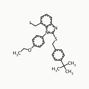 CCOc1ccc(-n2c(SCc3ccc(C(C)(C)C)cc3)nc3cccc(CI)c32)cc1